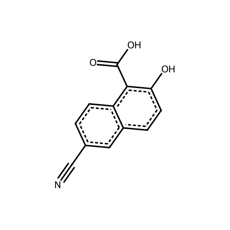 N#Cc1ccc2c(C(=O)O)c(O)ccc2c1